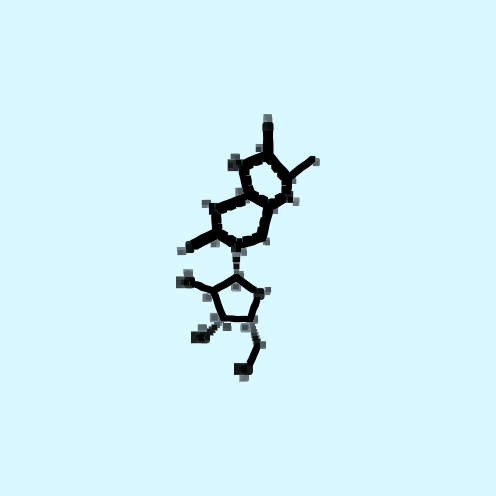 Cc1nc2cn([C@@H]3O[C@H](CO)[C@H](O)C3O)c(=S)nc2[nH]c1=O